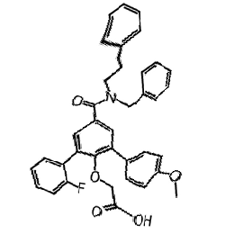 COc1ccc(-c2cc(C(=O)N(CCc3ccccc3)Cc3ccccc3)cc(-c3ccccc3F)c2OCC(=O)O)cc1